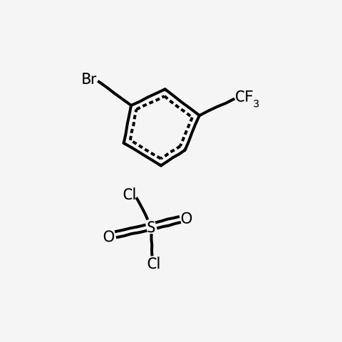 FC(F)(F)c1cccc(Br)c1.O=S(=O)(Cl)Cl